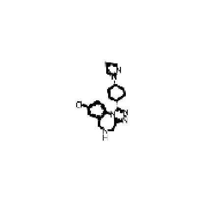 Clc1ccc2c(c1)CNCc1nnc([C@H]3CC[C@@H](n4cccn4)CC3)n1-2